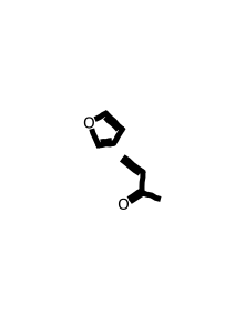 C=CC(C)=O.c1ccoc1